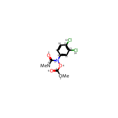 CNC(=O)N(OC(=O)OC)c1ccc(Cl)c(Cl)c1